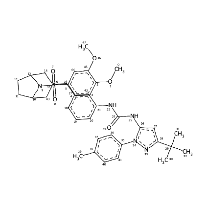 COc1ccc(S(=O)(=O)N2C3CCC2CC(Cc2cccc(NC(=O)Nc4cc(C(C)(C)C)nn4-c4ccc(C)cc4)c2)C3)cc1OC